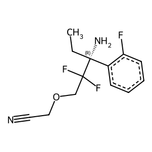 CC[C@@](N)(c1ccccc1F)C(F)(F)COCC#N